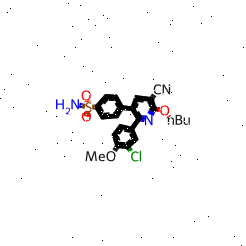 CCCCOc1nc(-c2ccc(OC)c(Cl)c2)c(-c2ccc(S(N)(=O)=O)cc2)cc1C#N